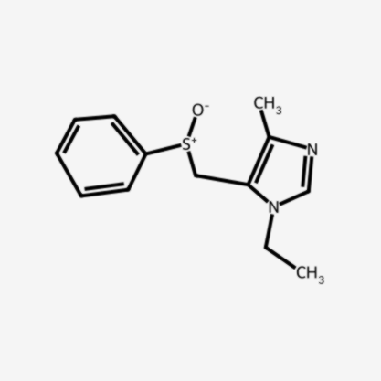 CCn1cnc(C)c1C[S+]([O-])c1ccccc1